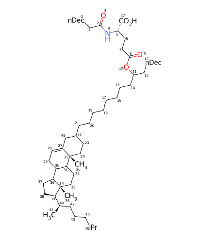 CCCCCCCCCCCC(=O)N[C@@H](CCC(=O)OC(CCCCCCCCCCC)CCCCCCCCC1CC[C@@]2(C)C(=CCC3C2CC[C@@]2(C)C3CC[C@@H]2[C@H](C)CCCC(C)C)C1)C(=O)O